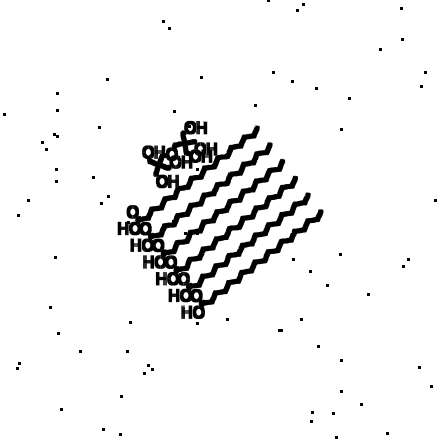 CCCCCCCCCCCCCCCCCCC(=O)O.CCCCCCCCCCCCCCCCCCC(=O)O.CCCCCCCCCCCCCCCCCCC(=O)O.CCCCCCCCCCCCCCCCCCC(=O)O.CCCCCCCCCCCCCCCCCCC(=O)O.CCCCCCCCCCCCCCCCCCC(=O)O.OCC(CO)(CO)COCC(CO)(CO)CO